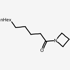 CCCCCCCCCCC(=O)N1CCC1